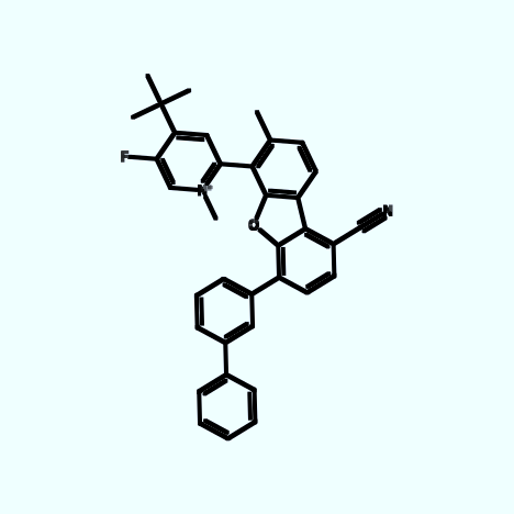 Cc1ccc2c(oc3c(-c4cccc(-c5ccccc5)c4)ccc(C#N)c32)c1-c1cc(C(C)(C)C)c(F)c[n+]1C